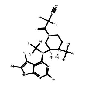 [2H]c1nc(N(C([2H])([2H])[2H])[C@@]2([2H])CN(C(=O)C([2H])([2H])[N+]#[C-])CC[C@@]2([2H])C([2H])([2H])[2H])c2c([2H])c([2H])[nH]c2n1